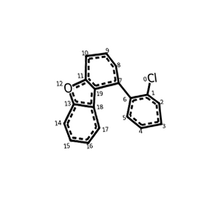 Clc1ccccc1-c1cccc2oc3ccccc3c12